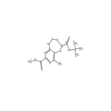 COC(=O)c1cc(C)c2c(c1)OCCN(C(=O)OC(C)(C)C)C2